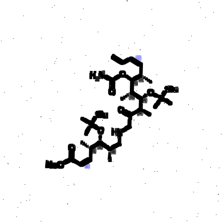 C=C/C=C\[C@H](C)[C@H](OC(N)=O)[C@@H](C)[C@H](O[Si](C)(C)C(C)(C)C)[C@@H](C)C(=O)CNC[C@H](C)[C@@H](O[Si](C)(C)C(C)(C)C)[C@@H](C)/C=C\C(=O)OC